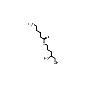 CCCCCC(=O)OCCCC(O)CO